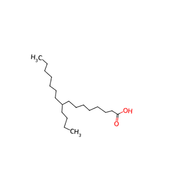 CCCCCCCC(CCCC)CCCCCCCC(=O)O